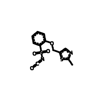 Cc1ncc(COc2ccccc2S(=O)(=O)N=C=O)s1